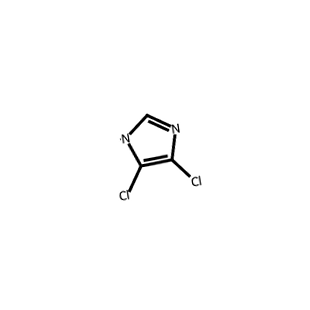 ClC1=C(Cl)N=C[N]1